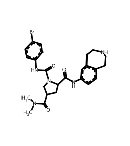 CN(C)C(=O)C1CC(C(=O)Nc2ccc3c(c2)CCNCC3)N(C(=O)Nc2ccc(Br)cc2)C1